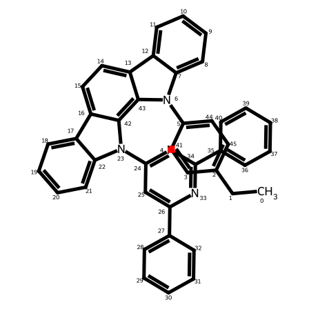 CCc1ccc(-n2c3ccccc3c3ccc4c5ccccc5n(-c5cc(-c6ccccc6)nc(-c6ccccc6)n5)c4c32)cc1